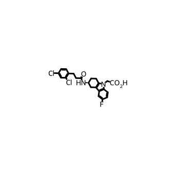 O=C(O)Cn1c2c(c3cc(F)ccc31)C[C@@H](NC(=O)CCc1ccc(Cl)cc1Cl)CC2